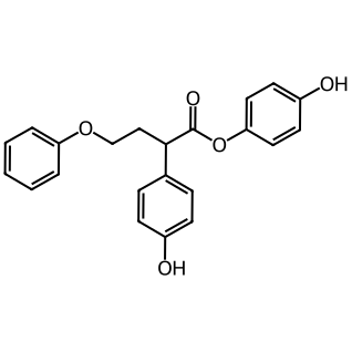 O=C(Oc1ccc(O)cc1)C(CCOc1ccccc1)c1ccc(O)cc1